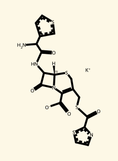 NC(C(=O)NC1C(=O)N2C(C(=O)[O-])=C(CSC(=O)c3nccs3)CS[C@@H]12)c1ccsc1.[K+]